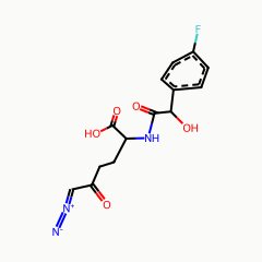 [N-]=[N+]=CC(=O)CCC(NC(=O)C(O)c1ccc(F)cc1)C(=O)O